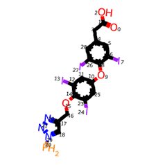 O=C(O)Cc1cc(I)c(Oc2cc(I)c(OCc3cn(P)nn3)c(I)c2)c(I)c1